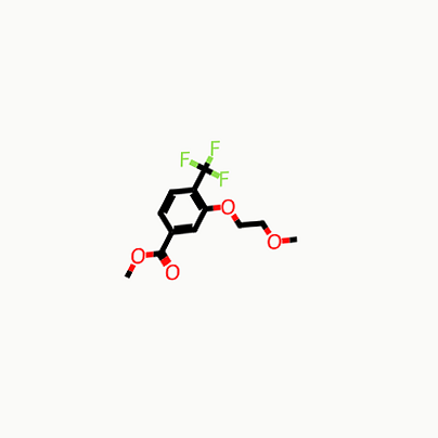 COCCOc1cc(C(=O)OC)ccc1C(F)(F)F